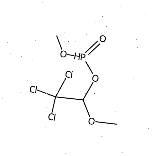 COC(O[PH](=O)OC)C(Cl)(Cl)Cl